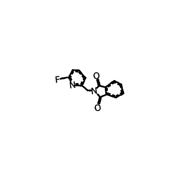 O=C1c2ccccc2C(=O)N1Cc1cccc(F)n1